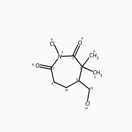 CC1(C)C(=O)N(Cl)C(=O)CCC1CCl